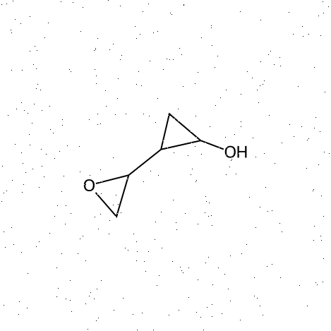 OC1CC1C1CO1